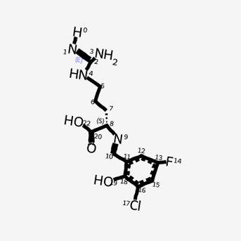 [H]/N=C(\N)NCCC[C@H](N=Cc1cc(F)cc(Cl)c1O)C(=O)O